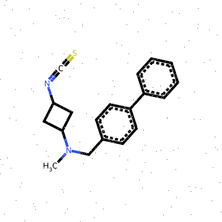 CN(Cc1ccc(-c2ccccc2)cc1)C1CC(N=C=S)C1